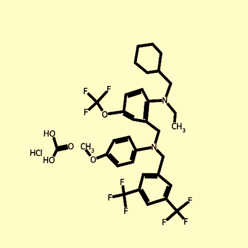 CCN(CC1CCCCC1)c1ccc(OC(F)(F)F)cc1CN(Cc1cc(C(F)(F)F)cc(C(F)(F)F)c1)c1ccc(OC)cc1.Cl.O=C(O)O